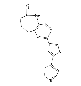 O=C1CCCc2cc(-c3csc(-c4ccncc4)n3)ccc2N1